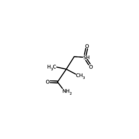 CC(C)(C[SH](=O)=O)C(N)=O